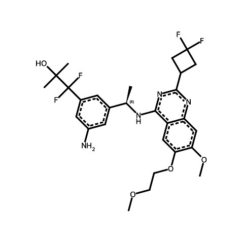 COCCOc1cc2c(N[C@H](C)c3cc(N)cc(C(F)(F)C(C)(C)O)c3)nc(C3CC(F)(F)C3)nc2cc1OC